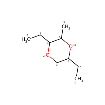 CCC1COC(CC)C(C)O1